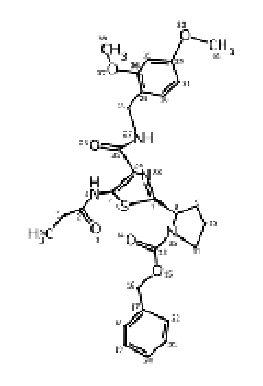 CCC(=O)Nc1sc([C@H]2CCCN2C(=O)OCc2ccccc2)nc1C(=O)NCc1ccc(OC)cc1OC